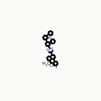 CC1(C)c2ccccc2-c2ccc(-c3cnc(-c4ccc(-c5cccc6c7ccccc7n(C7=CCCC=C7)c56)cc4)nc3)c3cccc1c23